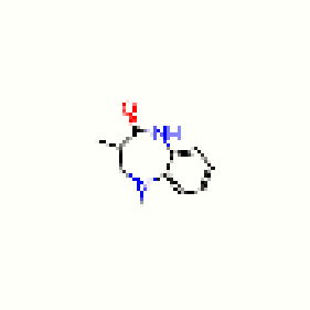 CC1CN(C)c2ccccc2NC1=O